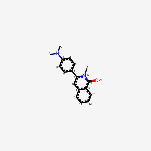 CN(C)c1ccc(-c2cc3ccccc3c(=O)n2C)cc1